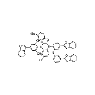 Cc1cc(-c2coc3ccccc23)cc(C)c1N1c2cc(C(C)C)cc3c2B(c2ccc(-c4cc5ccccc5o4)cc2N3c2cccc(-c3cc4ccccc4o3)c2)c2oc3ccc(C(C)(C)C)cc3c21